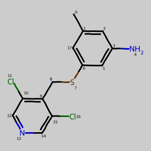 Cc1cc(N)cc(SCc2c(Cl)cncc2Cl)c1